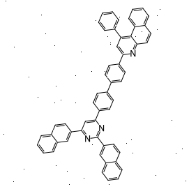 c1ccc(-c2cc(-c3ccc(-c4ccc(-c5cc(-c6ccc7ccccc7c6)nc(-c6ccc7ccccc7c6)n5)cc4)cc3)nc3ccc4ccccc4c23)cc1